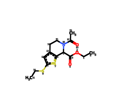 CCOC(=O)C1c2sc(SCC)cc2CCN1C(C)=O